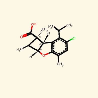 Cc1cc(Cl)c(C(C)C)c2c1O[C@@H]1C(C)[C@@](C)(C(=O)O)[C@H]21